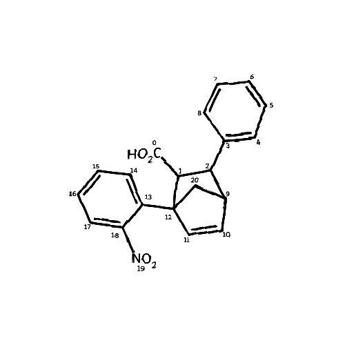 O=C(O)C1C(c2ccccc2)C2C=CC1(c1ccccc1[N+](=O)[O-])C2